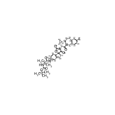 CC(C)(C)OC(=O)NC(C)(C)C(=O)Nc1ccc2c(c1)CC[C@]21OC(=O)N(CC(=O)N2Cc3ccc(F)cc3CC[C@H]2C2CC2)C1=O